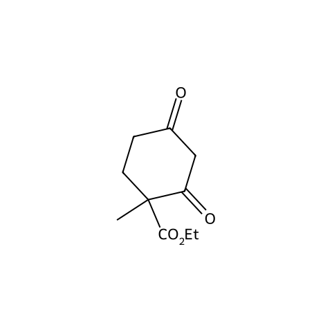 CCOC(=O)C1(C)CCC(=O)CC1=O